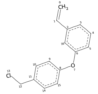 C=Cc1cccc(Oc2ccc(CCl)cc2)c1